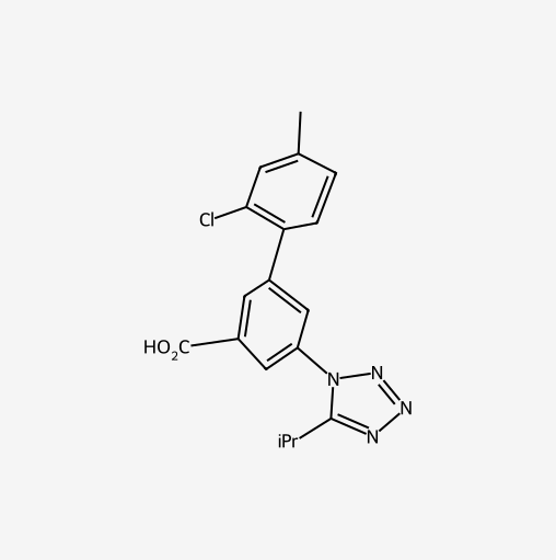 Cc1ccc(-c2cc(C(=O)O)cc(-n3nnnc3C(C)C)c2)c(Cl)c1